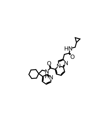 O=C(Cc1cn2c(C(=O)NCC3(c4cccnc4)CCCCC3)cccc2n1)NCC1CC1